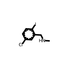 CNCc1cc(Cl)ccc1I